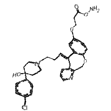 NOC(=O)CCOc1ccc2c(c1)/C(=C/CCN1CCC(O)(c3ccc(Cl)cc3)CC1)c1cccnc1CO2